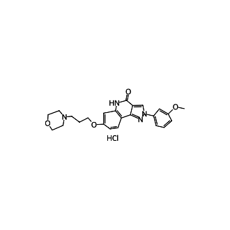 COc1cccc(-n2cc3c(=O)[nH]c4cc(OCCCN5CCOCC5)ccc4c3n2)c1.Cl